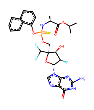 CC(C)OC(=O)[C@H](C)NP(=S)(OC[C@@]1(C(F)F)O[C@@H](n2cnc3c(=O)[nH]c(N)nc32)[C@H](F)[C@@H]1O)Oc1cccc2ccccc12